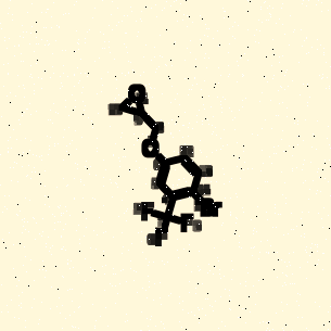 FC(F)(F)c1cc(OCC2CO2)ccc1Br